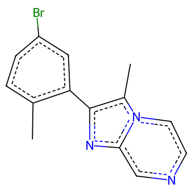 Cc1ccc(Br)cc1-c1nc2cnccn2c1C